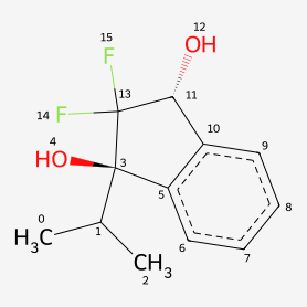 CC(C)[C@@]1(O)c2ccccc2[C@@H](O)C1(F)F